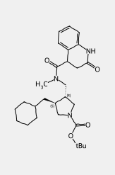 CN(C[C@@H]1CN(C(=O)OC(C)(C)C)C[C@H]1CC1CCCCC1)C(=O)C1CC(=O)Nc2ccccc21